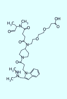 CNN(C)Cc1cc2ccccc2n1CCC(=O)N1CCC(N(CCOCCOCCC(=O)O)C(=O)CCC(=O)N(C)C(C)C=O)CC1